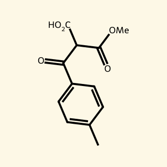 COC(=O)C(C(=O)O)C(=O)c1ccc(C)cc1